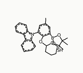 Cc1cc(B2OC(C)(C)C(C)(S)O2)c(OC2CCCCO2)c(-n2c3ccccc3c3ccccc32)c1